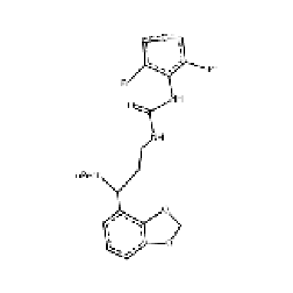 CCCCCC(CCNC(=O)Nc1c(C(C)C)cccc1C(C)C)c1cccc2c1OCO2